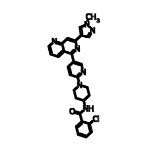 Cn1cc(-c2cc3ncccc3c(-c3ccc(N4CCC(NC(=O)c5ccccc5Cl)CC4)nc3)n2)cn1